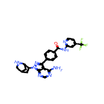 Nc1ncnc2c1c(-c1ccc(C(=O)Nc3cc(C(F)(F)F)ccn3)cc1)nn2C1CC2CNC1C2